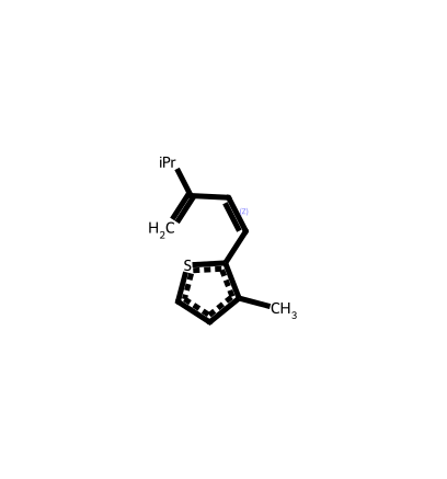 C=C(/C=C\c1sccc1C)C(C)C